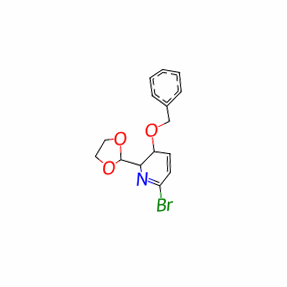 BrC1=NC(C2OCCO2)C(OCc2ccccc2)C=C1